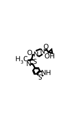 Cc1nc(-c2ccc3c(c2)NCS3)sc1C(=O)N1CCN(C(=O)C2(O)CC2)CC1